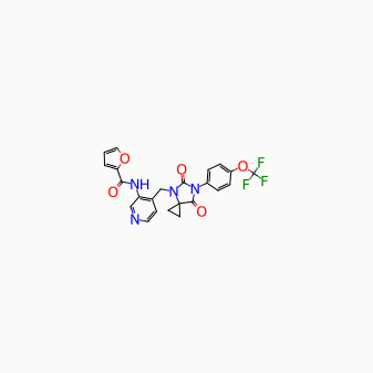 O=C(Nc1cnccc1CN1C(=O)N(c2ccc(OC(F)(F)F)cc2)C(=O)C12CC2)c1ccco1